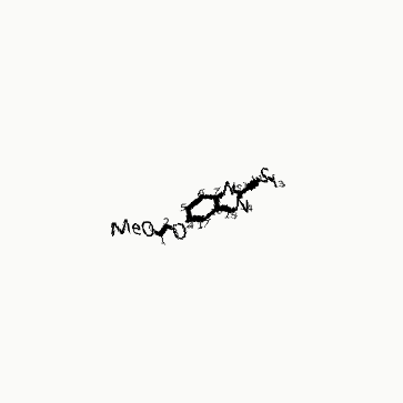 COCCOc1ccc2nc(C#CSI)ncc2c1